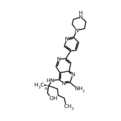 CCCC[C@](C)(CO)Nc1nc(N)nc2cc(-c3ccc(N4CCNCC4)nc3)ncc12